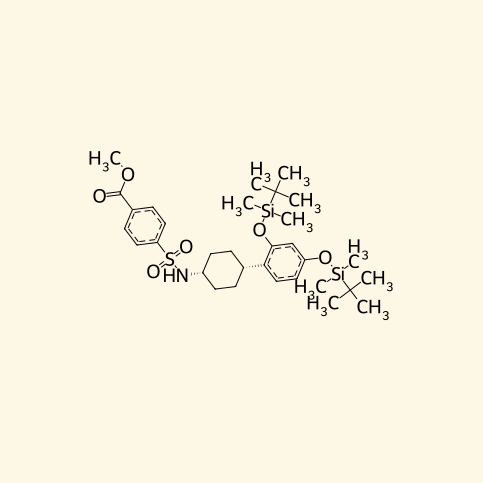 COC(=O)c1ccc(S(=O)(=O)N[C@H]2CC[C@@H](c3ccc(O[Si](C)(C)C(C)(C)C)cc3O[Si](C)(C)C(C)(C)C)CC2)cc1